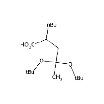 CCCCC(CC(C)(OC(C)(C)C)OC(C)(C)C)C(=O)O